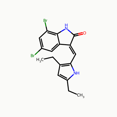 CCc1cc(CC)c(C=C2C(=O)Nc3c(Br)cc(Br)cc32)[nH]1